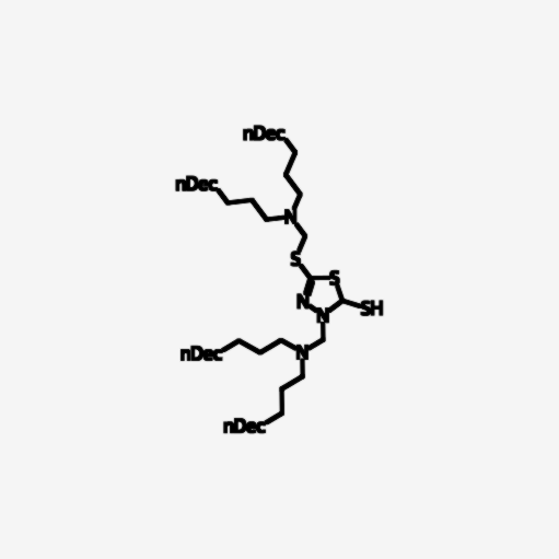 CCCCCCCCCCCCCN(CCCCCCCCCCCCC)CSC1=NN(CN(CCCCCCCCCCCCC)CCCCCCCCCCCCC)C(S)S1